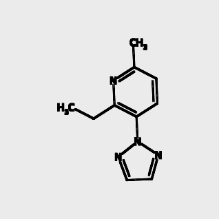 CCc1nc(C)ccc1-n1nccn1